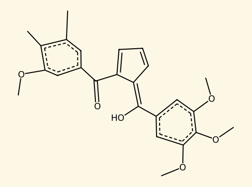 COc1cc(C(=O)C2=CC=C/C2=C(/O)c2cc(OC)c(OC)c(OC)c2)cc(C)c1C